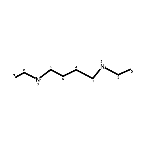 CC[N]CCCC[N]CC